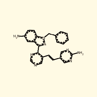 Nc1ccc2c(c1)c(-c1ncncc1/C=C/c1cnc(N)nc1)nn2Cc1ccccc1